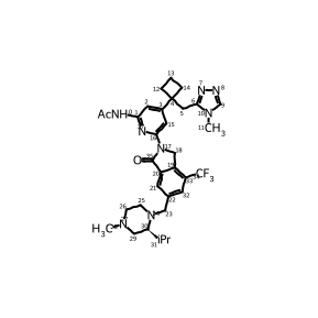 CC(=O)Nc1cc(C2(Cc3nncn3C)CCC2)cc(N2Cc3c(cc(CN4CCN(C)C[C@@H]4C(C)C)cc3C(F)(F)F)C2=O)n1